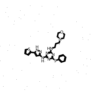 c1ccc(Sc2nc(NCCCN3CCOCC3)nc(Nc3cc(-c4cccs4)[nH]n3)n2)cc1